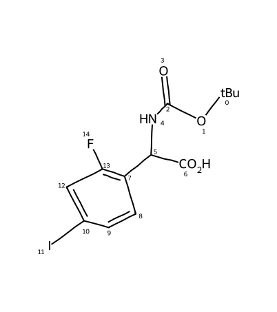 CC(C)(C)OC(=O)NC(C(=O)O)c1ccc(I)cc1F